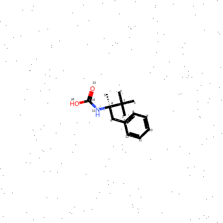 CC(C)(C)[C@@](C)(Cc1ccccc1)NC(=O)O